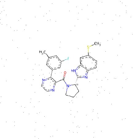 CSc1ccc2nc([C@@H]3CCCN3C(=O)c3nccnc3-c3cc(C)cc(F)c3)[nH]c2c1